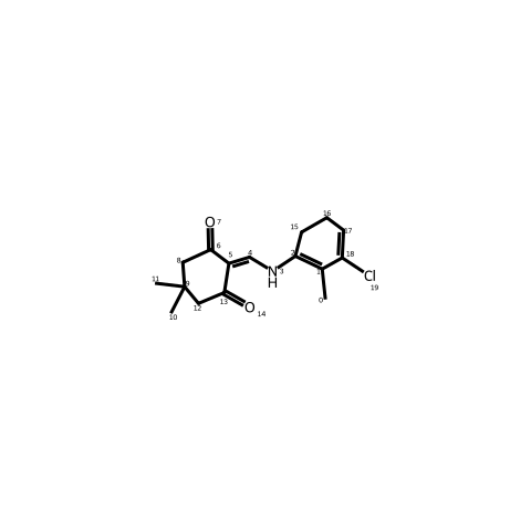 CC1=C(NC=C2C(=O)CC(C)(C)CC2=O)CCC=C1Cl